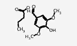 CCCC(=O)O.COc1cc(C=O)cc(OC)c1O